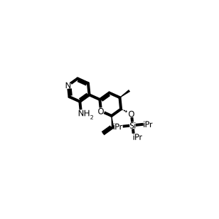 C=C[C@H]1OC(c2ccncc2N)=C[C@@H](C)[C@@H]1O[Si](C(C)C)(C(C)C)C(C)C